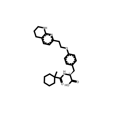 CC1(C(=O)N[C@@H](Cc2ccc(OCCc3ccc4c(n3)NCCC4)cc2)C(=O)O)CCCCC1